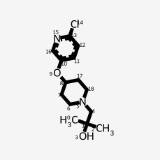 CC(C)(O)CN1CCC(Oc2ccc(Cl)nc2)CC1